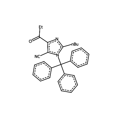 CCCCc1nc(C(=O)CC)c(C#N)n1C(c1ccccc1)(c1ccccc1)c1ccccc1